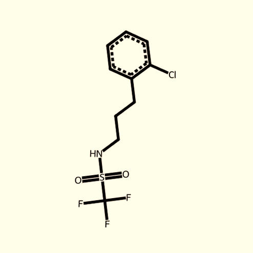 O=S(=O)(NCCCc1ccccc1Cl)C(F)(F)F